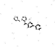 O=C(c1c(F)cc(-c2cncnc2)cc1F)N1CCC[C@H]1CN1CCCC1